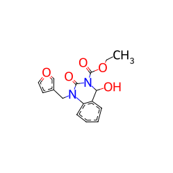 CCOC(=O)N1C(=O)N(Cc2ccoc2)c2ccccc2C1O